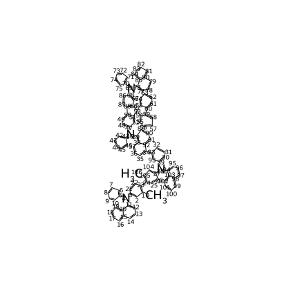 Cc1cc(N(c2ccccc2)c2cccc3ccccc23)ccc1-c1ccc(N(c2cccc(-c3cccc4c(N(c5ccccc5)c5ccc6c(c5)C5(c7ccccc7-c7ccccc75)c5cc(N(c7ccccc7)c7cccc8ccccc78)ccc5-6)cccc34)c2)c2cccc3ccccc23)cc1C